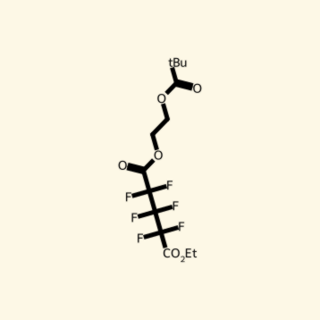 CCOC(=O)C(F)(F)C(F)(F)C(F)(F)C(=O)OCCOC(=O)C(C)(C)C